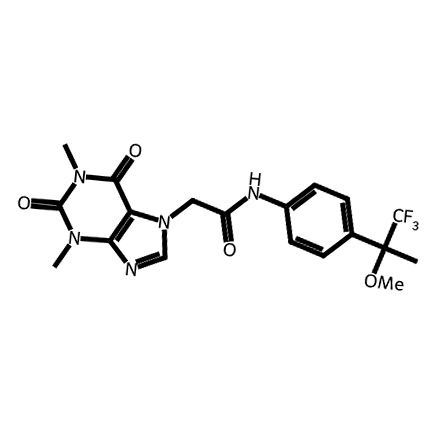 COC(C)(c1ccc(NC(=O)Cn2cnc3c2c(=O)n(C)c(=O)n3C)cc1)C(F)(F)F